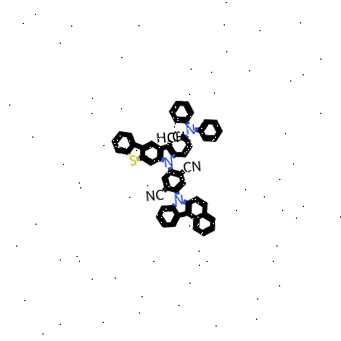 C=C(/C=C\c1c(C)c2cc3c(cc2n1-c1cc(C#N)c(-n2c4ccccc4c4c5ccccc5ccc42)cc1C#N)sc1ccccc13)N(c1ccccc1)c1ccccc1